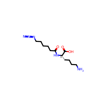 [N-]=[N+]=NCCCCCC(=O)N[C@@H](CCCCN)C(=O)O